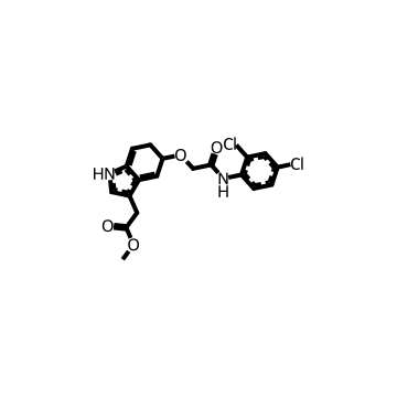 COC(=O)Cc1c[nH]c2c1=CC(OCC(=O)Nc1ccc(Cl)cc1Cl)CC=2